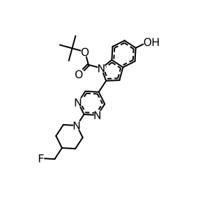 CC(C)(C)OC(=O)n1c(-c2cnc(N3CCC(CF)CC3)nc2)cc2cc(O)ccc21